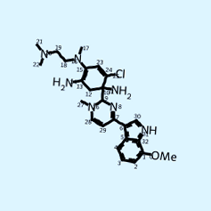 COc1cccc2c(C3=NC(C4(N)CC(N)=C(N(C)CCN(C)C)C=C4Cl)N(C)C=C3)c[nH]c12